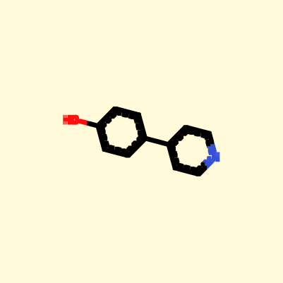 Oc1ccc(-c2ccncc2)cc1